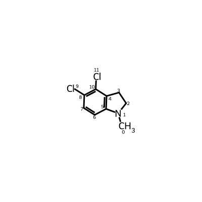 CN1CCc2c1ccc(Cl)c2Cl